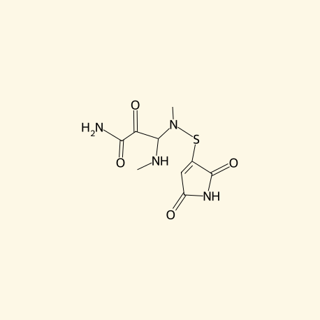 CNC(C(=O)C(N)=O)N(C)SC1=CC(=O)NC1=O